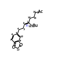 CCCC/C(=C\CCc1ccc2c(c1)OCO2)CCCC(C)=O